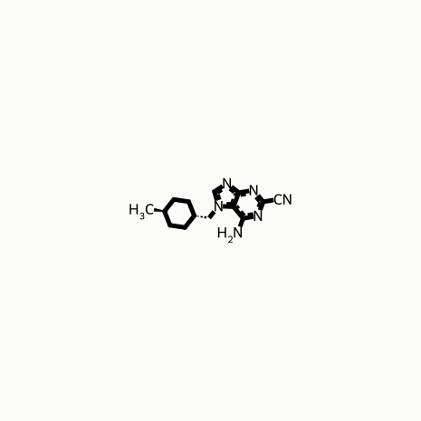 C[C@H]1CC[C@H](Cn2cnc3nc(C#N)nc(N)c32)CC1